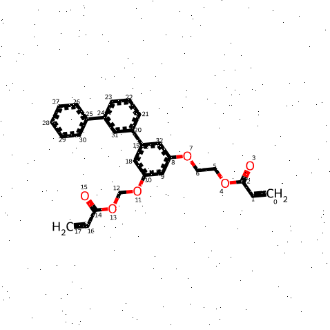 C=CC(=O)OCCOc1cc(OCOC(=O)C=C)cc(-c2cccc(-c3ccccc3)c2)c1